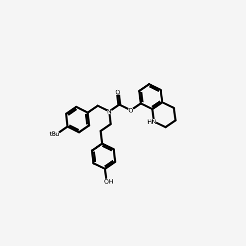 CC(C)(C)c1ccc(CN(CCc2ccc(O)cc2)C(=O)Oc2cccc3c2NCCC3)cc1